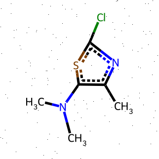 Cc1nc(Cl)sc1N(C)C